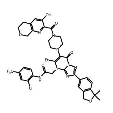 CCc1c(N2CCN(C(=O)c3nc4c(cc3O)CCOC4)CC2)c(=O)n2nc(-c3ccc4c(c3)COC4(C)C)nc2n1CC(=O)Nc1ccc(C(F)(F)F)cc1Cl